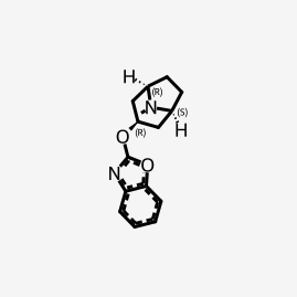 CN1[C@@H]2CC[C@H]1C[C@@H](Oc1nc3ccccc3o1)C2